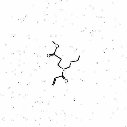 C=CC(=O)N(CCCC)CCC(=O)OC